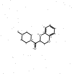 CN1CCN(C(=O)C2COc3ccccc3O2)CC1